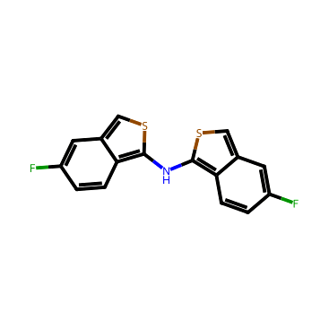 Fc1ccc2c(Nc3scc4cc(F)ccc34)scc2c1